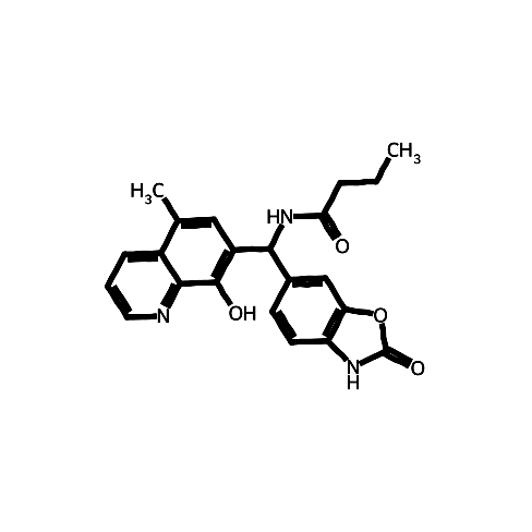 CCCC(=O)NC(c1ccc2[nH]c(=O)oc2c1)c1cc(C)c2cccnc2c1O